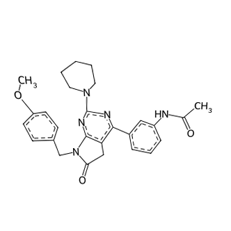 COc1ccc(CN2C(=O)Cc3c(-c4cccc(NC(C)=O)c4)nc(N4CCCCC4)nc32)cc1